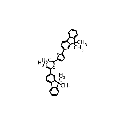 C=C(S/C(=C\C)c1ccc2c(c1)C(C)(C)c1ccccc1-2)c1ccc(-c2ccc3c(c2)C(C)(C)c2ccccc2-3)s1